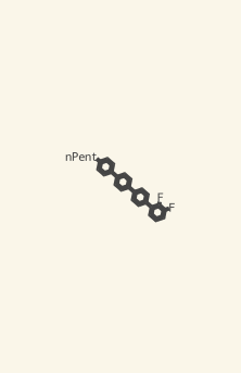 CCCCCc1ccc(-c2ccc(-c3ccc(-c4cccc(F)c4F)cc3)cc2)cc1